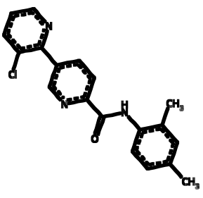 Cc1ccc(NC(=O)c2ccc(-c3ncccc3Cl)cn2)c(C)c1